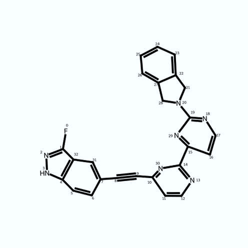 Fc1n[nH]c2ccc(C#Cc3ccnc(-c4ccnc(N5Cc6ccccc6C5)n4)n3)cc12